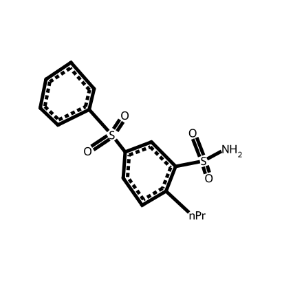 CCCc1ccc(S(=O)(=O)c2ccccc2)cc1S(N)(=O)=O